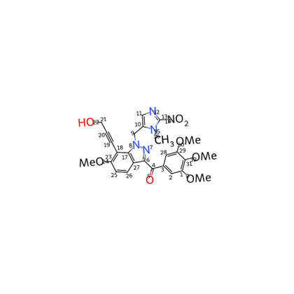 COc1cc(C(=O)c2nn(Cc3cnc([N+](=O)[O-])n3C)c3c(C#CCO)c(OC)ccc23)cc(OC)c1OC